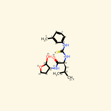 Cc1cccc(NC(=S)N[C@@H](CC(C)C)C(=O)N[C@H]2CCOC2O)c1